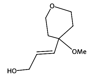 COC1(C=CCO)CCOCC1